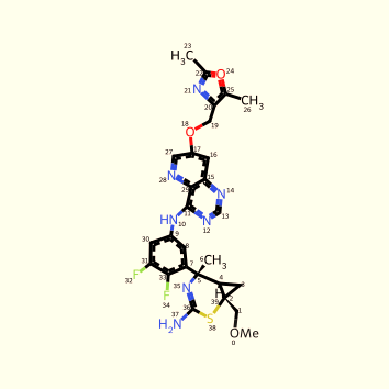 COC[C@]12C[C@H]1[C@@](C)(c1cc(Nc3ncnc4cc(OCc5nc(C)oc5C)cnc34)cc(F)c1F)N=C(N)S2